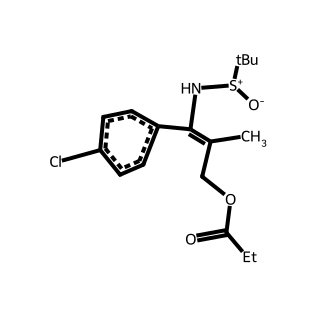 CCC(=O)OCC(C)=C(N[S+]([O-])C(C)(C)C)c1ccc(Cl)cc1